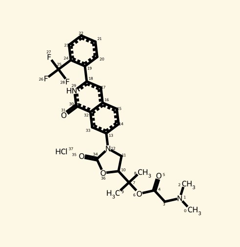 CN(C)CC(=O)OC(C)(C)C1CN(c2ccc3cc(-c4ccccc4C(F)(F)F)[nH]c(=O)c3c2)C(=O)O1.Cl